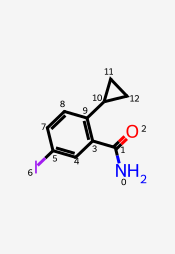 NC(=O)c1cc(I)ccc1C1CC1